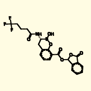 O=C(CCCC(F)(F)F)N[C@H]1Cc2cccc(C(=O)OC3OC(=O)c4ccccc43)c2OB1O